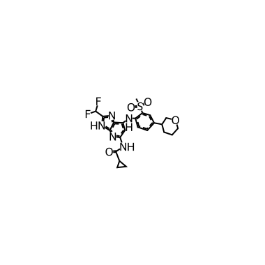 CS(=O)(=O)c1cc(C2CCCOC2)ccc1Nc1cc(NC(=O)C2CC2)nc2[nH]c(C(F)F)nc12